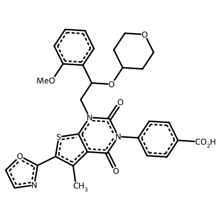 COc1ccccc1C(Cn1c(=O)n(-c2ccc(C(=O)O)cc2)c(=O)c2c(C)c(-c3ncco3)sc21)OC1CCOCC1